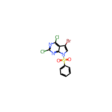 O=S(=O)(c1ccccc1)n1cc(Br)c2c(Cl)nc(Cl)nc21